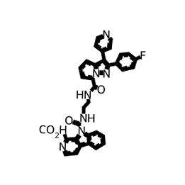 O=C(O)c1nccc2c3ccccc3n(C(=O)NCCNC(=O)c3cccc4c(-c5ccncc5)c(-c5ccc(F)cc5)nn34)c12